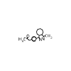 CC(=O)Cc1ccc(C2=NN=C(C)C3CCCCCCC23)cc1